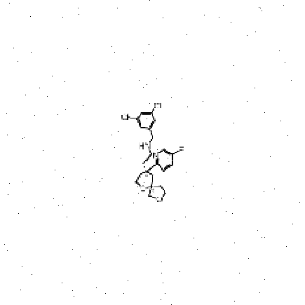 Fc1ccc([C@]2(CCNCc3cc(Cl)cc(Cl)c3)CCO[C@]3(CCOC3)C2)nc1